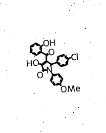 COc1ccc(N2C(=O)C(O)=C(C(=O)c3ccccc3O)C2c2ccc(Cl)cc2)cc1